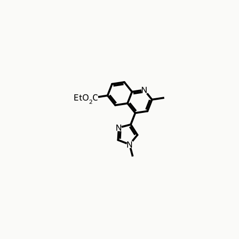 CCOC(=O)c1ccc2nc(C)cc(-c3cn(C)cn3)c2c1